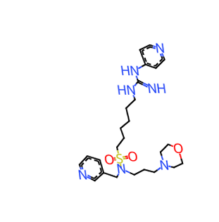 N=C(NCCCCCCS(=O)(=O)N(CCCN1CCOCC1)Cc1cccnc1)Nc1ccncc1